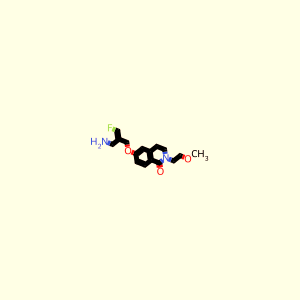 COCCN1CCc2cc(OC/C(=C/F)CN)ccc2C1=O